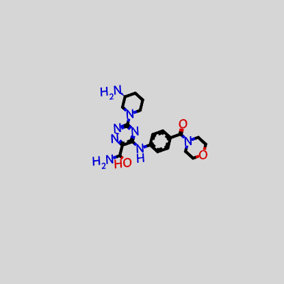 NC(O)c1nnc(N2CCC[C@@H](N)C2)nc1Nc1ccc(C(=O)N2CCOCC2)cc1